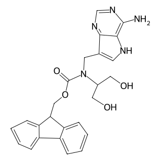 Nc1ncnc2c(CN(C(=O)OCC3c4ccccc4-c4ccccc43)C(CO)CO)c[nH]c12